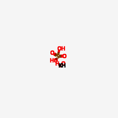 O.O=S(=O)(O)O.[KH]